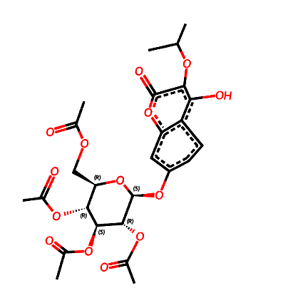 CC(=O)OC[C@H]1O[C@@H](Oc2ccc3c(O)c(OC(C)C)c(=O)oc3c2)[C@H](OC(C)=O)[C@@H](OC(C)=O)[C@@H]1OC(C)=O